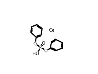 O=P(O)(Oc1ccccc1)Oc1ccccc1.[Ce]